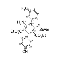 CCOC(=O)C1=C(N)N(c2cccc(C(F)(F)F)c2)C(CSC)=C(C(=O)OCC)C1c1ccc(C#N)cc1